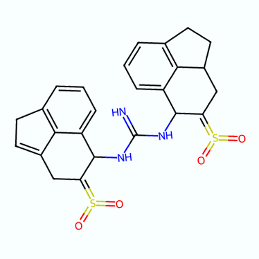 N=C(NC1C(=S(=O)=O)CC2=CCc3cccc1c32)NC1C(=S(=O)=O)CC2CCc3cccc1c32